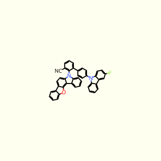 N#Cc1cccc(-c2ccc(-n3c4ccccc4c4cc(F)ccc43)cc2)c1-n1c2ccccc2c2c3oc4ccccc4c3ccc21